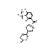 Cc1ccc(C(=O)[C@@H]2CCC(C3OCC(C)CO3)CO2)c(F)c1C(F)(F)F